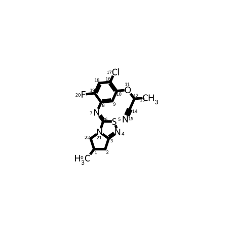 CC1Cc2nsc(=Nc3cc(OC(C)C#N)c(Cl)cc3F)n2C1